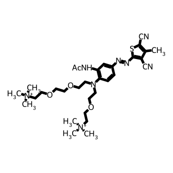 CC(=O)Nc1cc(/N=N/c2sc(C#N)c(C)c2C#N)ccc1N(CCOCCOCC[N+](C)(C)C)CCOCC[N+](C)(C)C